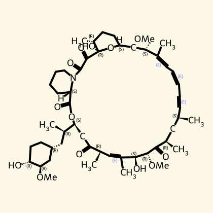 CO[C@H]1C[C@@H]2CC[C@@H](C)[C@@](O)(O2)C(=O)C(=O)N2CCCC[C@H]2C(=O)O[C@H]([C@H](C)C[C@H]2CC[C@@H](O)[C@H](OC)C2)CC(=O)[C@H](C)/C=C(\C)[C@H](O)[C@@H](OC)C(=O)[C@H](C)C[C@H](C)/C=C/C=C/C=C/1C